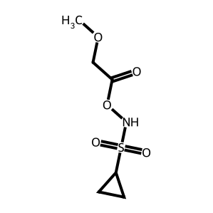 COCC(=O)ONS(=O)(=O)C1CC1